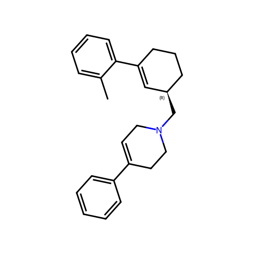 Cc1ccccc1C1=C[C@H](CN2CC=C(c3ccccc3)CC2)CCC1